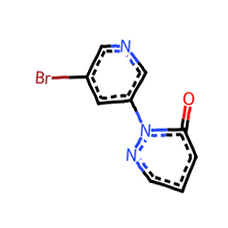 O=c1cccnn1-c1cncc(Br)c1